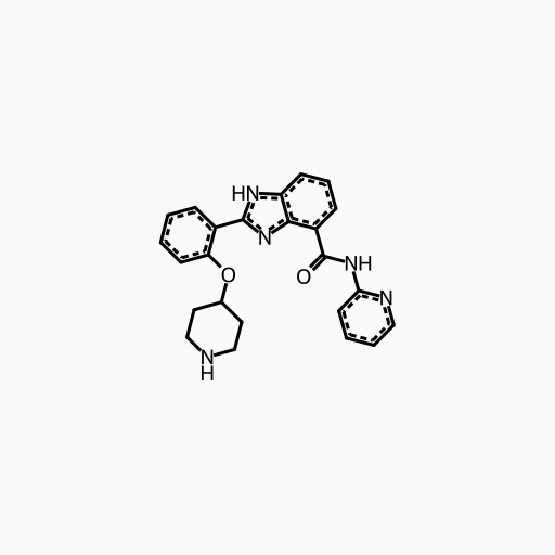 O=C(Nc1ccccn1)c1cccc2[nH]c(-c3ccccc3OC3CCNCC3)nc12